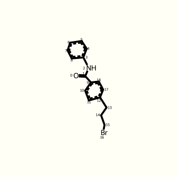 O=C(Nc1ccccc1)c1ccc(CCCBr)cc1